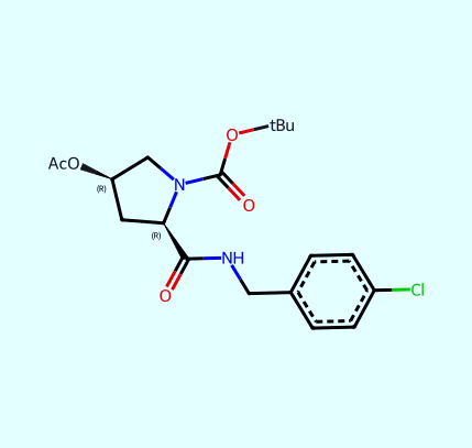 CC(=O)O[C@@H]1C[C@H](C(=O)NCc2ccc(Cl)cc2)N(C(=O)OC(C)(C)C)C1